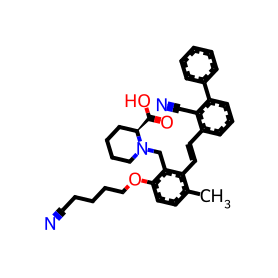 Cc1ccc(OCCCCC#N)c(CN2CCCC[C@H]2C(=O)O)c1/C=C/c1cccc(-c2ccccc2)c1C#N